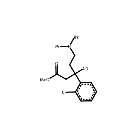 COC(=O)CC(C#N)(CCN(C(C)C)C(C)C)c1ccccc1Cl